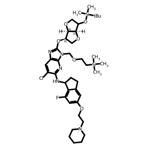 CC(C)(C)[Si](C)(C)OC1CO[C@H]2[C@@H]1OC[C@H]2Oc1nc2cc(Cl)c(NC3CCc4cc(OCCN5CCCCC5)cc(F)c43)nc2n1COCC[Si](C)(C)C